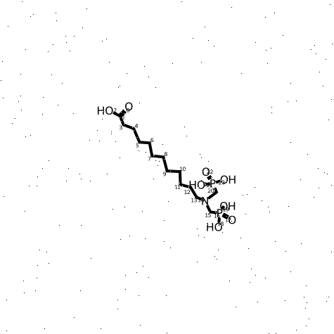 O=C(O)CCCCCCCCCCCN(CP(=O)(O)O)CP(=O)(O)O